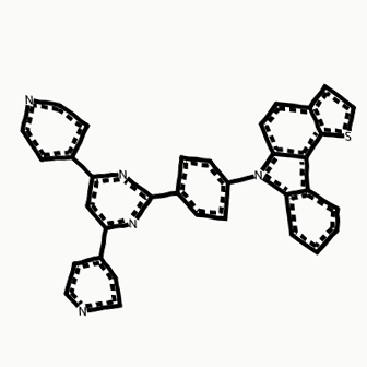 c1ccc2c(c1)c1c3sccc3ccc1n2-c1ccc(-c2nc(-c3ccncc3)cc(-c3ccncc3)n2)cc1